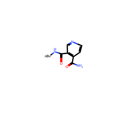 CCCCNC(=O)c1cnccc1C(N)=O